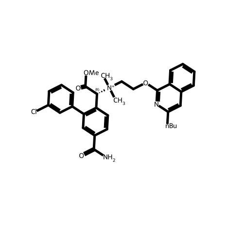 CCCCc1cc2ccccc2c(OCC[N+](C)(C)[C@@H](C(=O)OC)c2ccc(C(N)=O)cc2-c2cccc(Cl)c2)n1